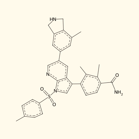 Cc1ccc(S(=O)(=O)n2cc(-c3ccc(C(N)=O)c(C)c3C)c3cc(-c4cc(C)c5c(c4)CNC5)cnc32)cc1